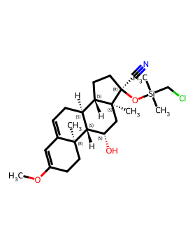 COC1=CC2=CC[C@@H]3[C@H]([C@@H](O)C[C@@]4(C)[C@H]3CC[C@@]4(C#N)O[Si](C)(C)CCl)[C@@]2(C)CC1